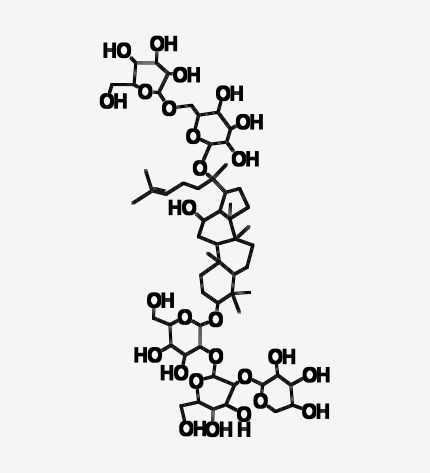 CC(C)=CCCC(C)(OC1OC(COC2OC(CO)C(O)C(O)C2O)C(O)C(O)C1O)C1CCC2(C)C1C(O)CC1C3(C)CCC(OC4OC(CO)C(O)C(O)C4OC4OC(CO)C(O)C(O)C4OC4OCC(O)C(O)C4O)C(C)(C)C3CCC12C